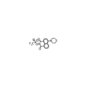 O=C1c2cccc3c(N4CCSCC4)ccc(c23)C(=O)N1OS(=O)(=O)C(F)(F)F